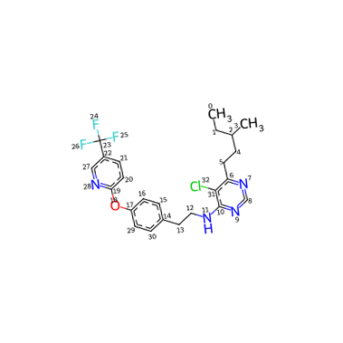 CCC(C)CCc1ncnc(NCCc2ccc(Oc3ccc(C(F)(F)F)cn3)cc2)c1Cl